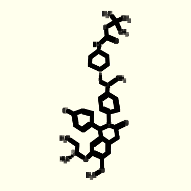 CC[C@@H](C)Oc1cc2c(cc1OC)CC(=O)N(c1ccc(N(C)C[C@H]3CC[C@H](NC(=O)OC(C)(C)C)CC3)cc1)C2c1ccc(Cl)cc1